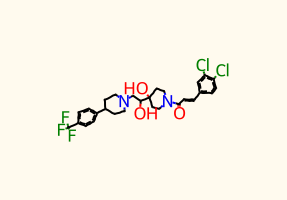 O=C(C=Cc1ccc(Cl)c(Cl)c1)N1CCC(O)(C(O)CN2CCC(c3ccc(C(F)(F)F)cc3)CC2)CC1